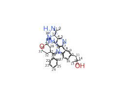 C/C(N)=C(\c1cnc2c3cc(CC(C)(C)O)ccc3n([C@H](c3ccccc3)C3CCOCC3)c2c1)N(C)N